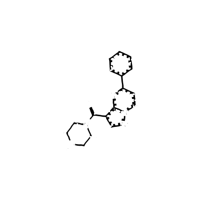 O=C(c1cnn2ccc(-c3ccccc3)nc12)N1CCOCC1